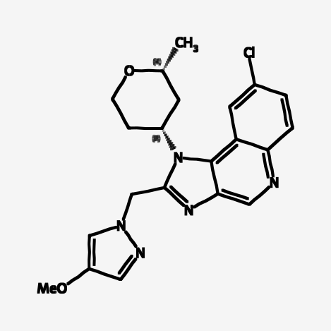 COc1cnn(Cc2nc3cnc4ccc(Cl)cc4c3n2[C@@H]2CCO[C@H](C)C2)c1